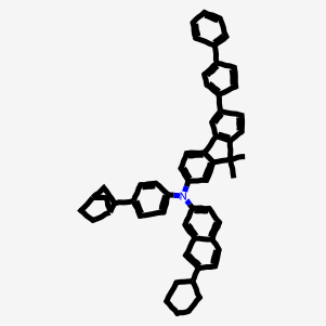 CC1(C)c2ccc(-c3ccc(-c4ccccc4)cc3)cc2-c2ccc(N(c3ccc(C4CC5CCC4C5)cc3)c3ccc4ccc(C5CCCCC5)cc4c3)cc21